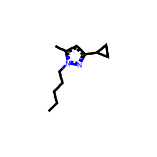 CCCCCn1nc(C2CC2)cc1C